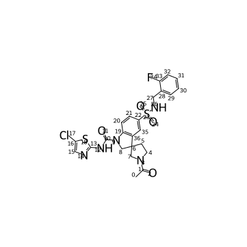 CC(=O)N1CCC2(C1)CN(C(=O)Nc1ncc(Cl)s1)c1ccc(S(=O)(=O)NCc3ccccc3F)cc12